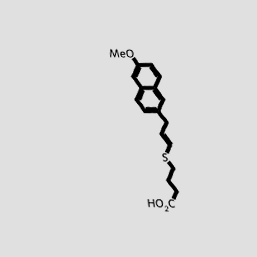 COc1ccc2cc(CC=CSCCCC(=O)O)ccc2c1